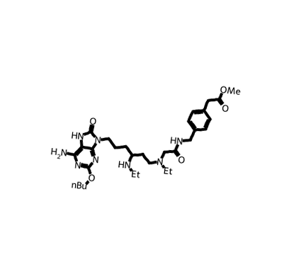 CCCCOc1nc(N)c2[nH]c(=O)n(CCCC(CCN(CC)CC(=O)NCc3ccc(CC(=O)OC)cc3)NCC)c2n1